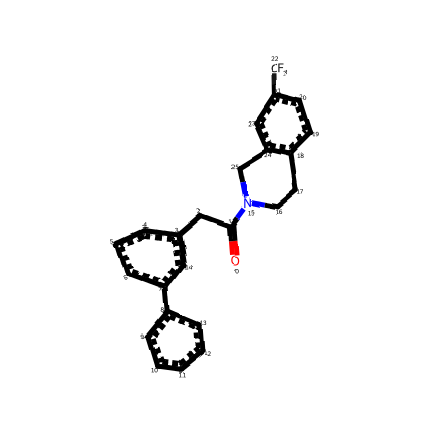 O=C(Cc1cccc(-c2ccccc2)c1)N1CCc2ccc(C(F)(F)F)cc2C1